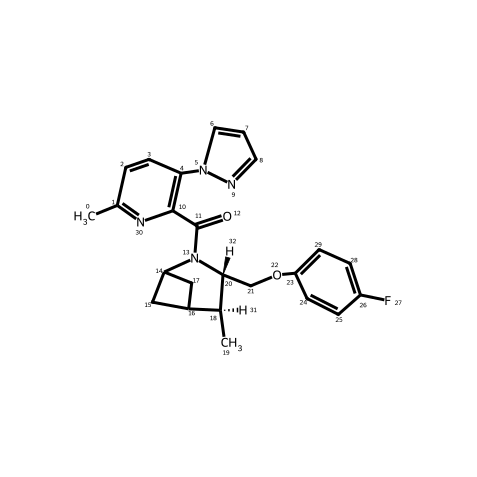 Cc1ccc(-n2cccn2)c(C(=O)N2C3CC(C3)[C@H](C)[C@H]2COc2ccc(F)cc2)n1